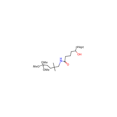 CCCCCCCC(O)CCCC(=O)NCC(C)(C)CC[Si](OC)(OC)OC